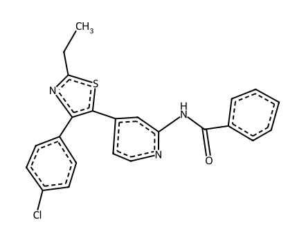 CCc1nc(-c2ccc(Cl)cc2)c(-c2ccnc(NC(=O)c3ccccc3)c2)s1